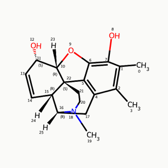 Cc1c(C)c2c3c(c1O)O[C@H]1[C@@H](O)C=C[C@H]4[C@@H](C2)N(C)CC[C@@]341